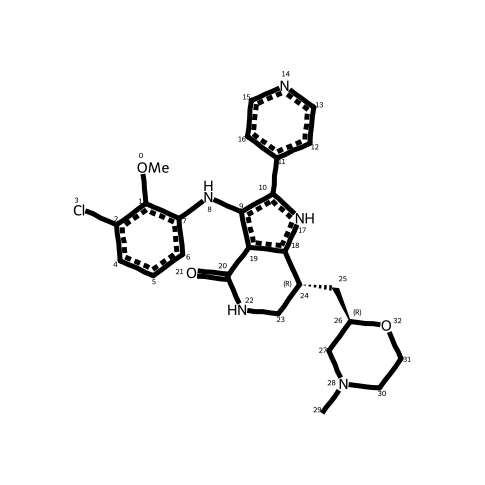 COc1c(Cl)cccc1Nc1c(-c2ccncc2)[nH]c2c1C(=O)NC[C@H]2C[C@@H]1CN(C)CCO1